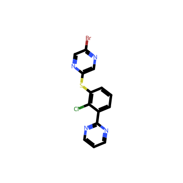 Clc1c(Sc2cnc(Br)cn2)cccc1-c1ncccn1